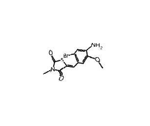 COc1cc(/C=C2\SC(=O)N(C)C2=O)c(Br)cc1N